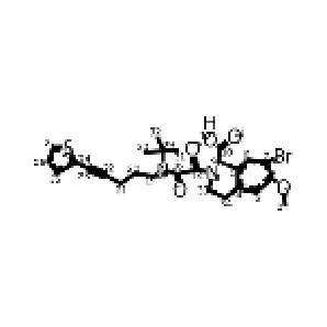 COc1cc2c(cc1Br)C(C(=O)O)N(C(=O)C(=O)N(CCCC#Cc1cccs1)C(C)(C)C)CC2